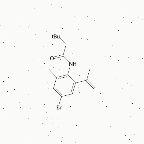 C=C(C)c1cc(Br)cc(C)c1NC(=O)CC(C)(C)C